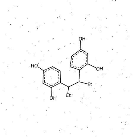 CCC(c1ccc(O)cc1O)C(CC)c1ccc(O)cc1O